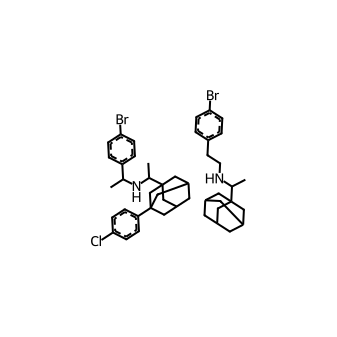 CC(NC(C)C12CC3CC(CC(c4ccc(Cl)cc4)(C3)C1)C2)c1ccc(Br)cc1.CC(NCCc1ccc(Br)cc1)C12CC3CC(CC(C3)C1)C2